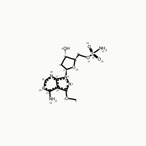 COc1nn([C@H]2C[C@H](O)[C@@H](COS(N)(=O)=O)O2)c2ncnc(N)c12